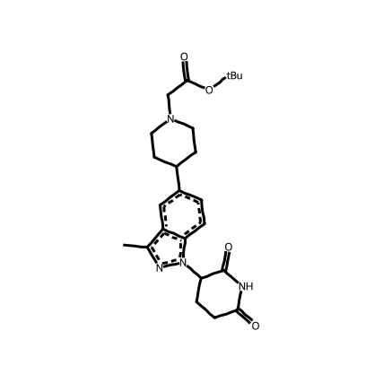 Cc1nn(C2CCC(=O)NC2=O)c2ccc(C3CCN(CC(=O)OC(C)(C)C)CC3)cc12